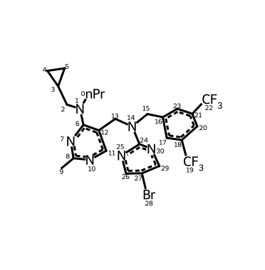 CCCN(CC1CC1)c1nc(C)ncc1CN(Cc1cc(C(F)(F)F)cc(C(F)(F)F)c1)c1ncc(Br)cn1